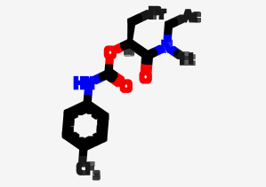 CCN(CC(C)=O)C(=O)[C@H](CC(C)C)OC(=O)Nc1ccc(C(F)(F)F)cc1